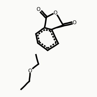 CCOCC.O=C1OC(=O)c2ccccc21